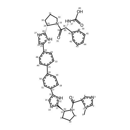 Cn1cncc1C(=O)N1CCC[C@H]1c1ncc(-c2ccc(-c3ccc(-c4cnc([C@@H]5CCCN5C(=O)[C@H](NC(=O)O)c5ccccc5)[nH]4)cc3)cc2)[nH]1